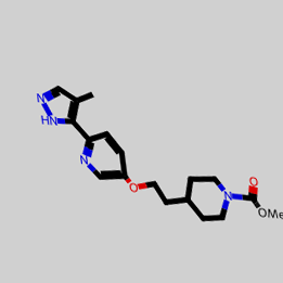 COC(=O)N1CCC(CCOc2ccc(-c3[nH]ncc3C)nc2)CC1